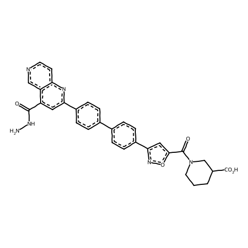 NNC(=O)c1cc(-c2ccc(-c3ccc(-c4cc(C(=O)N5CCCC(C(=O)O)C5)on4)cc3)cc2)nc2ccncc12